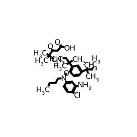 CC(C)(C)C(=O)CC(=O)O.CCCCN(Oc1ccc(C(C)(C)CC)cc1C(C)(C)CC)c1ccc(Cl)c(N)c1